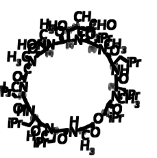 CC(C)C[C@@H]1C(=O)N[C@H](CC(C)C)C(=O)N(C)[C@H](C(C)C)C(=O)N(C)[C@H]([C@H](O)[C@H](C)CC=O)C(=O)N[C@H]([C@@H](C)O)C(=O)N(C)CC(=O)N(C)[C@@H](CC(C)C)C(=O)N[C@H](CC(C)C)C(=O)N(C)[C@H](CC(C)C)C(=O)N[C@H](C)C(=O)O[C@@H](C(C)C)C(=O)N1C